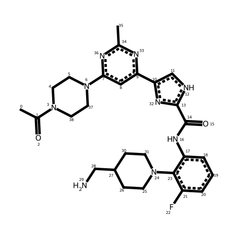 CC(=O)N1CCN(c2cc(-c3c[nH]c(C(=O)Nc4cccc(F)c4N4CCC(CN)CC4)n3)nc(C)n2)CC1